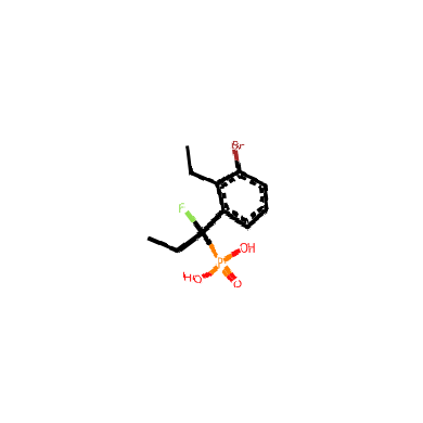 CCc1c(Br)cccc1C(F)(CC)P(=O)(O)O